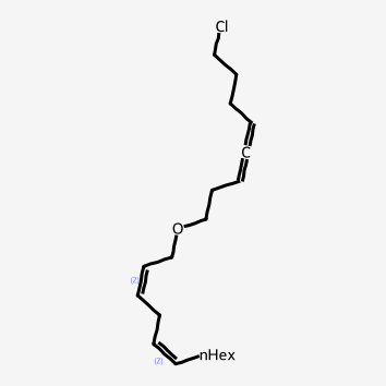 CCCCCC/C=C\C/C=C\COCCC=C=CCCCCl